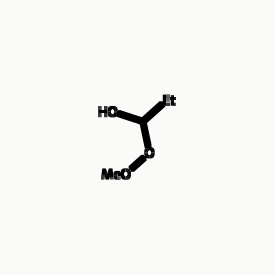 CCC(O)OOC